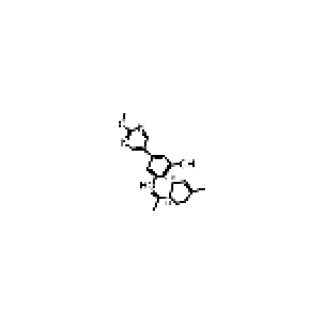 C=C(C)[C@@H]1CCC(C)=C[C@H]1c1c(O)cc(-c2cnc(OC)nc2)cc1O